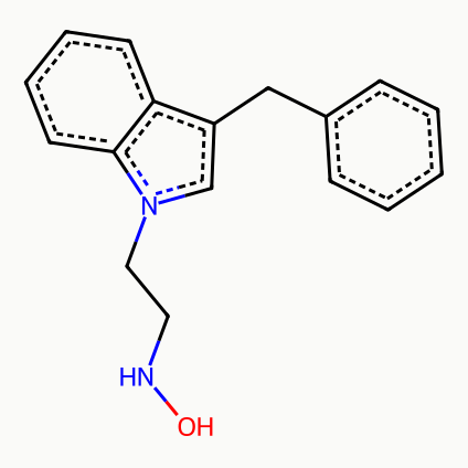 ONCCn1cc(Cc2ccccc2)c2ccccc21